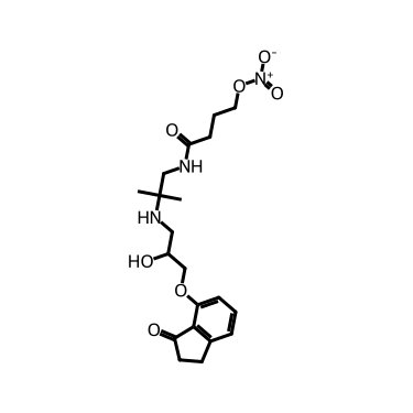 CC(C)(CNC(=O)CCCO[N+](=O)[O-])NCC(O)COc1cccc2c1C(=O)CC2